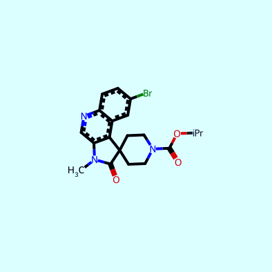 CC(C)OC(=O)N1CCC2(CC1)C(=O)N(C)c1cnc3ccc(Br)cc3c12